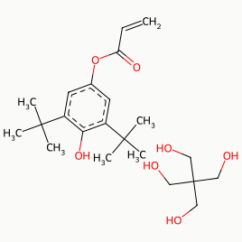 C=CC(=O)Oc1cc(C(C)(C)C)c(O)c(C(C)(C)C)c1.OCC(CO)(CO)CO